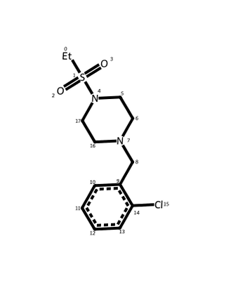 CCS(=O)(=O)N1CCN(Cc2ccccc2Cl)CC1